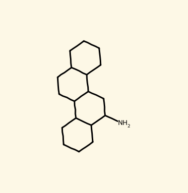 NC1CC2C3CCCCC3CCC2C2CCCCC12